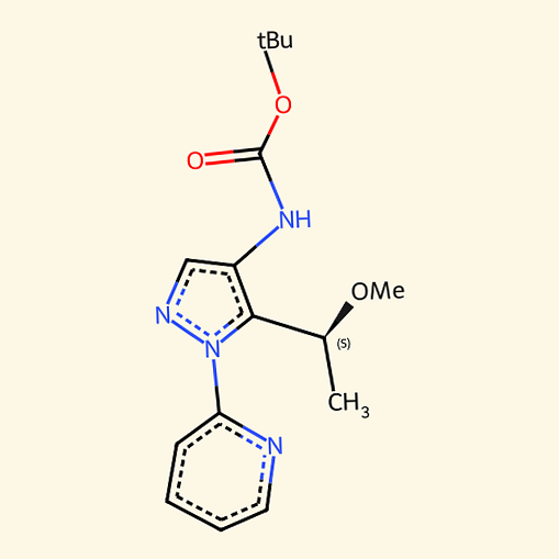 CO[C@@H](C)c1c(NC(=O)OC(C)(C)C)cnn1-c1ccccn1